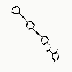 O=C(Oc1ccc(C#Cc2ccc(C#Cc3ccccc3)cc2)cc1)c1cc(O)ccc1O